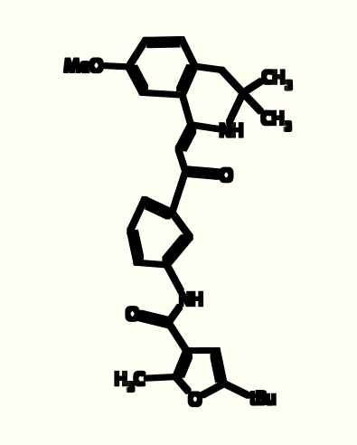 COc1ccc2c(c1)C(=CC(=O)c1cccc(NC(=O)c3cc(C(C)(C)C)oc3C)c1)NC(C)(C)C2